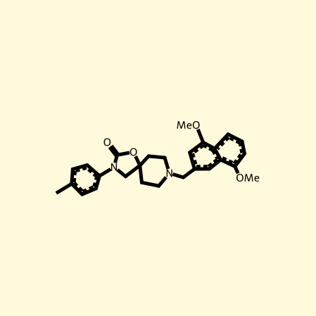 COc1cc(CN2CCC3(CC2)CN(c2ccc(C)cc2)C(=O)O3)cc2c(OC)cccc12